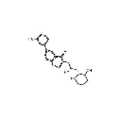 O=c1c2cc(-c3cccc(C(F)(F)F)c3)ccc2ncn1C[C@@H](O)C[C@H]1NCCC[C@@H]1O